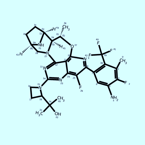 Cc1c(F)c(N)cc(-c2nc3c4c(nc(N5CCC5C(C)(C)O)nc4c2F)N2C[C@H]4CC[C@H](N4)[C@H]2[C@H](C)O3)c1C(F)(F)F